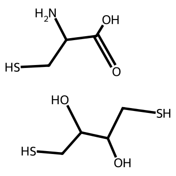 NC(CS)C(=O)O.OC(CS)C(O)CS